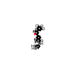 O=C(NNC1CCS(O)(O)C1)c1ccc(C(F)=CC(c2cc(Cl)c(Cl)c(Cl)c2)C(F)(F)F)cc1C(F)(F)F